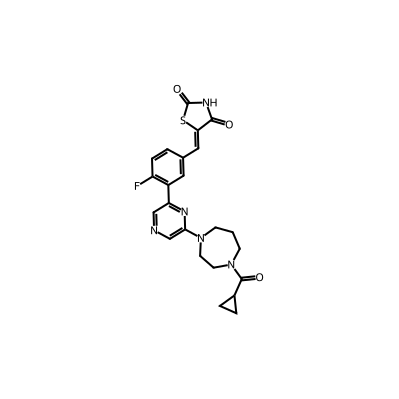 O=C1NC(=O)/C(=C/c2ccc(F)c(-c3cncc(N4CCCN(C(=O)C5CC5)CC4)n3)c2)S1